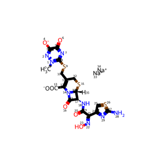 Cn1nc([O-])c(=O)nc1SCC1=C(C(=O)[O-])N2C(=O)[C@@H](NC(=O)/C(=N\O)c3csc(N)n3)[C@H]2SC1.[Na+].[Na+]